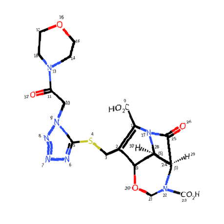 O=C(O)C1=C(CSc2nnnn2CC(=O)N2CCOCC2)C2OCN(C(=O)O)[C@@H]3C(=O)N1[C@H]23